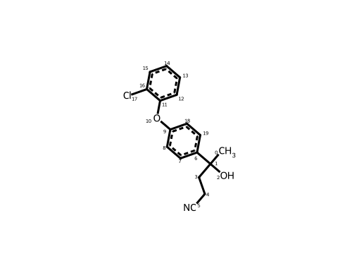 CC(O)(CCC#N)c1ccc(Oc2ccccc2Cl)cc1